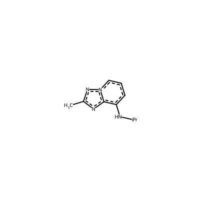 Cc1nc2c(NC(C)C)cccn2n1